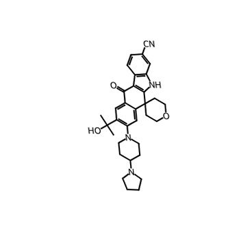 CC(C)(O)c1cc2c(cc1N1CCC(N3CCCC3)CC1)C1(CCOCC1)c1[nH]c3cc(C#N)ccc3c1C2=O